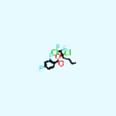 CCCCC(Cl)(OC(=O)c1ccc(F)cc1F)C(F)(F)Cl